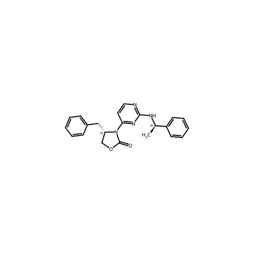 C[C@@H](Nc1nccc(N2C(=O)OC[C@@H]2Cc2ccccc2)n1)c1ccccc1